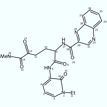 CCn1cccc(NC(=O)C(CCC(=O)C(=O)NC)NC(=O)c2cnc3ccccc3n2)c1=O